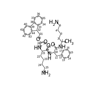 CC(CCCCN)NC(=O)C(Cc1ccccc1)NC(=O)C(CCCCN)NC(=O)OCC1c2ccccc2-c2ccccc21